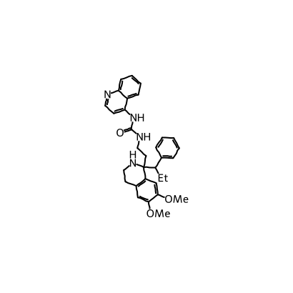 CCC(c1ccccc1)C1(CCNC(=O)Nc2ccnc3ccccc23)NCCc2cc(OC)c(OC)cc21